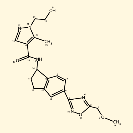 COCc1nc(-c2ccc3c(c2)CCC3NC(=O)c2cnn(CCO)c2C)no1